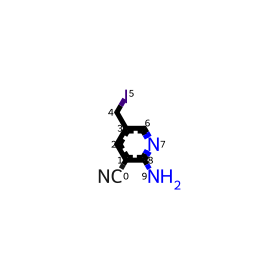 N#Cc1cc(CI)cnc1N